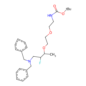 CC(OCCOCCNC(=O)OC(C)(C)C)C(F)CN(Cc1ccccc1)Cc1ccccc1